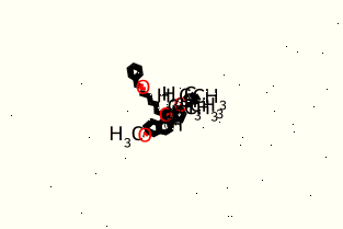 COc1ccc2c(c1)CC[C@]1(C=O)C2=C(CCCCCOCc2ccccc2)C[C@]2(C)[C@@H](O[Si](C)(C)C(C)(C)C)CC[C@H]21